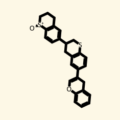 [O-][S+]1CCCc2cc(C3CSc4ccc(C5=COc6ccccc6C5)cc4C3)ccc21